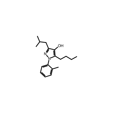 CCCCc1c(O)c(CC(C)C)nn1-c1ccccc1C